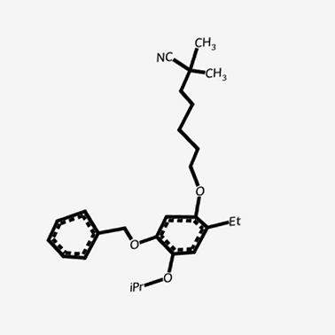 CCc1cc(OC(C)C)c(OCc2ccccc2)cc1OCCCCCC(C)(C)C#N